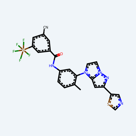 Cc1ccc(NC(=O)c2cc(C#N)cc(S(F)(F)(F)(F)F)c2)cc1-n1ccn2nc(-c3cncs3)cc12